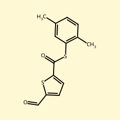 Cc1ccc(C)c(SC(=O)c2ccc(C=O)s2)c1